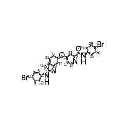 Cn1c(Nc2ccc(Br)cc2)nc2cc(Oc3ccnc(C(=O)Nc4ccc(Br)cc4)c3)ccc21